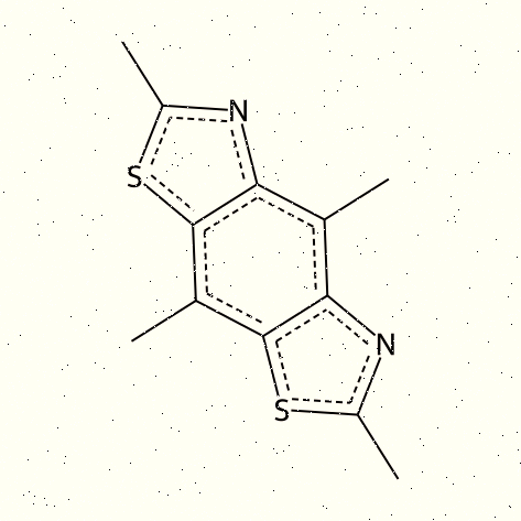 Cc1nc2c(C)c3nc(C)sc3c(C)c2s1